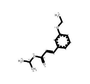 CCOc1cccc(C=CC(=O)OC(C)C)c1